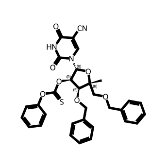 C[C@]1(COCc2ccccc2)O[C@@H](n2cc(C#N)c(=O)[nH]c2=O)[C@H](OC(=S)Oc2ccccc2)[C@@H]1OCc1ccccc1